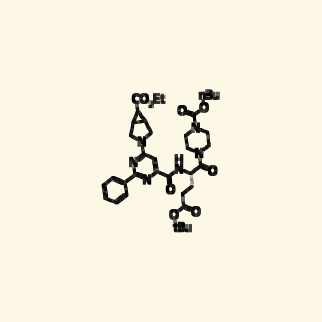 CCCCOC(=O)N1CCN(C(=O)[C@H](CCC(=O)OC(C)(C)C)NC(=O)c2cc(N3CC4C(C3)C4C(=O)OCC)nc(-c3ccccc3)n2)CC1